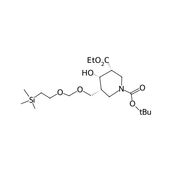 CCOC(=O)[C@@H]1CN(C(=O)OC(C)(C)C)C[C@H](COCOCC[Si](C)(C)C)[C@@H]1O